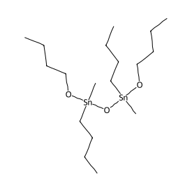 CCCC[O][Sn]([CH3])([CH2]CCC)[O][Sn]([CH3])([CH2]CCC)[O]CCCC